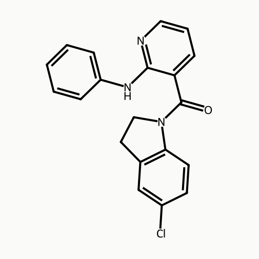 O=C(c1cccnc1Nc1ccccc1)N1CCc2cc(Cl)ccc21